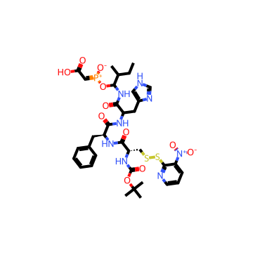 CCC(C)C(NC(=O)C(Cc1c[nH]cn1)NC(=O)[C@H](Cc1ccccc1)NC(=O)[C@H](CSSc1ncccc1[N+](=O)[O-])NC(=O)OC(C)(C)C)O/[P+]([O-])=C/C(=O)O